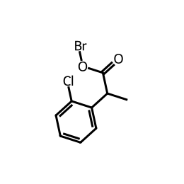 CC(C(=O)OBr)c1ccccc1Cl